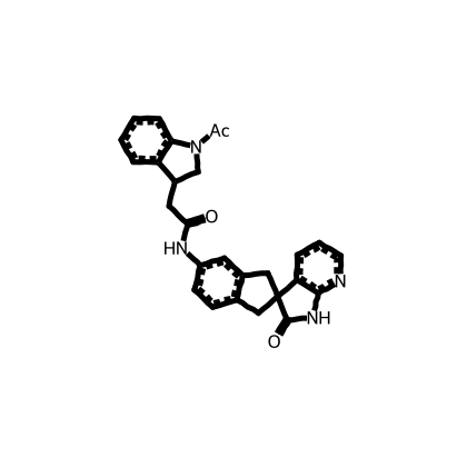 CC(=O)N1CC(CC(=O)Nc2ccc3c(c2)CC2(C3)C(=O)Nc3ncccc32)c2ccccc21